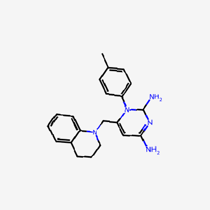 Cc1ccc(N2C(CN3CCCc4ccccc43)=CC(N)=NC2N)cc1